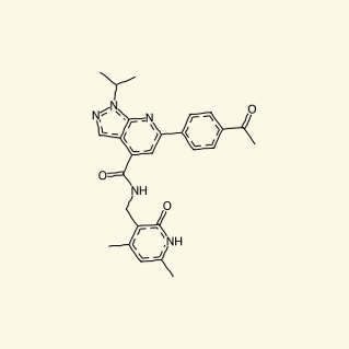 CC(=O)c1ccc(-c2cc(C(=O)NCc3c(C)cc(C)[nH]c3=O)c3cnn(C(C)C)c3n2)cc1